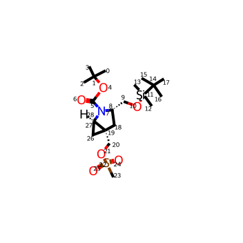 CC(C)(C)OC(=O)N1[C@H](CO[Si](C)(C)C(C)(C)C)C[C@@]2(COS(C)(=O)=O)C[C@@H]12